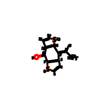 C/C(=C1/c2ccsc2C(=O)c2ccsc21)C(C)C